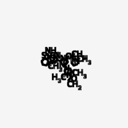 C=CC(=O)N1[C@H](C)CN(c2cc(O[C@@H](C)[C@@H]3CCCN3C)nc(-c3cc([C@@]4(C)CCCc5sc(N)c(C#N)c54)on3)n2)C[C@@H]1C